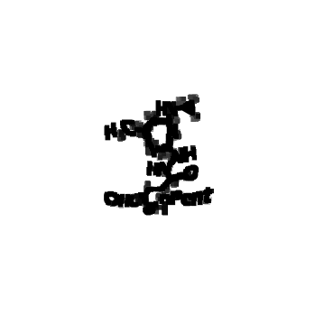 CCCCC[C@H](CN(O)C=O)C(=O)NNc1nc(C)cc(NC2CC2)n1